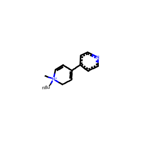 CCCC[N+]1(C)C=CC(c2ccncc2)=CC1